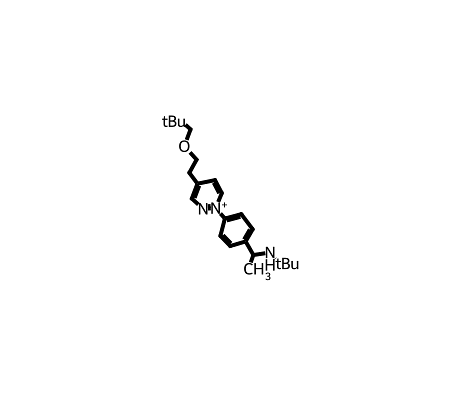 CC(NC(C)(C)C)c1ccc(-[n+]2ccc(CCOCC(C)(C)C)cn2)cc1